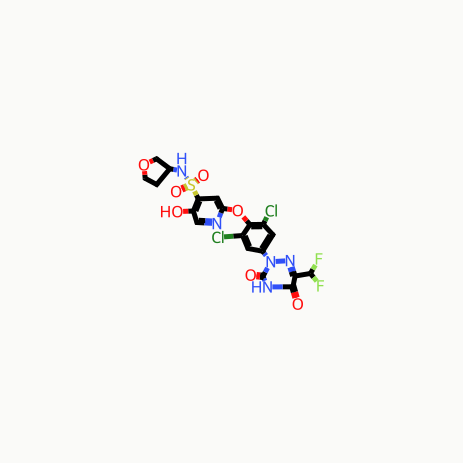 O=c1[nH]c(=O)n(-c2cc(Cl)c(Oc3cc(S(=O)(=O)NC4CCOC4)c(O)cn3)c(Cl)c2)nc1C(F)F